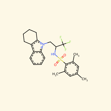 Cc1cc(C)c(S(=O)(=O)NC(Cn2c3c(c4ccccc42)CCCC3)C(F)(F)F)c(C)c1